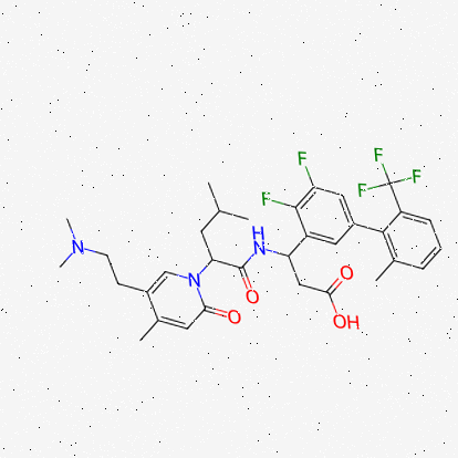 Cc1cc(=O)n(C(CC(C)C)C(=O)NC(CC(=O)O)c2cc(-c3c(C)cccc3C(F)(F)F)cc(F)c2F)cc1CCN(C)C